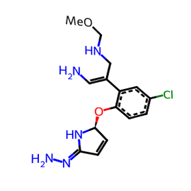 COCNC/C(=C\N)c1cc(Cl)ccc1O[C@H]1C=C/C(=N/N)N1